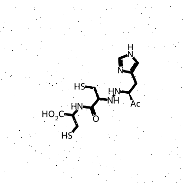 CC(=O)[C@H](Cc1c[nH]cn1)NNC(CS)C(=O)NC(CS)C(=O)O